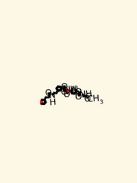 COCCNC(=O)Oc1ccc(C(=O)NS(=O)(=O)c2cccc(CCNC(=O)CCc3ccccc3)c2)cn1